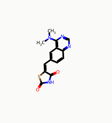 CN(C)c1ncnc2ccc(/C=C3/SC(=O)NC3=O)cc12